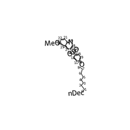 CCCCCCCCCCCCCCCCCCOc1ccc(S(=O)(=O)c2cnc3ccc(OC)cc3c2)cc1